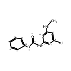 CNc1cc(Cl)nc(NC(=O)Oc2ccccc2)n1